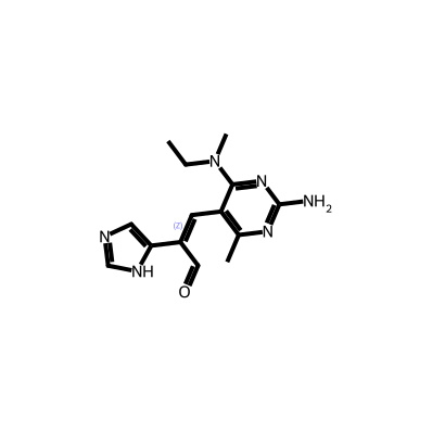 CCN(C)c1nc(N)nc(C)c1/C=C(\C=O)c1cnc[nH]1